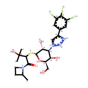 CC1CCN1C(=O)C(S[C@@H]1O[C@H](CO)[C@H](O)[C@H](n2cc(-c3cc(F)c(F)c(F)c3)nn2)[C@H]1O)C(C)(C)O